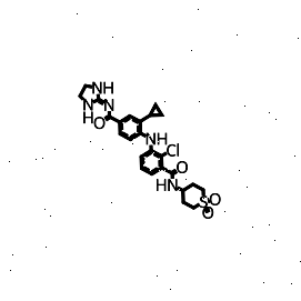 O=C(N=C1NCCN1)c1ccc(Nc2cccc(C(=O)NC3CCS(=O)(=O)CC3)c2Cl)c(C2CC2)c1